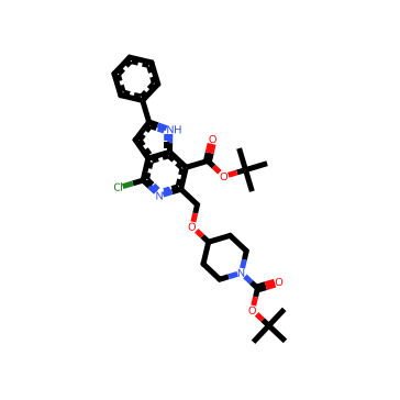 CC(C)(C)OC(=O)c1c(COC2CCN(C(=O)OC(C)(C)C)CC2)nc(Cl)c2cc(-c3ccccc3)[nH]c12